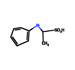 CC([N]c1ccccc1)S(=O)(=O)O